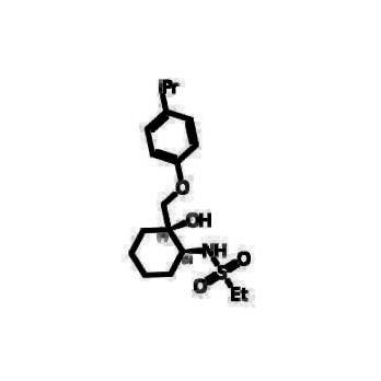 CCS(=O)(=O)N[C@H]1CCCC[C@]1(O)COc1ccc(C(C)C)cc1